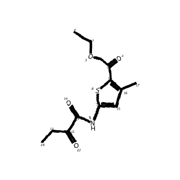 CCOC(=O)c1sc(NC(=O)C(=O)CC)cc1C